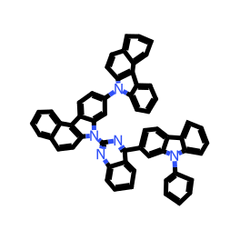 c1ccc(-n2c3ccccc3c3ccc(-c4nc(-n5c6cc(-n7c8ccccc8c8c9ccccc9ccc87)ccc6c6c7ccccc7ccc65)nc5ccccc45)cc32)cc1